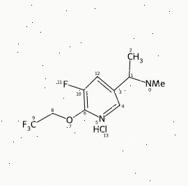 CNC(C)c1cnc(OCC(F)(F)F)c(F)c1.Cl